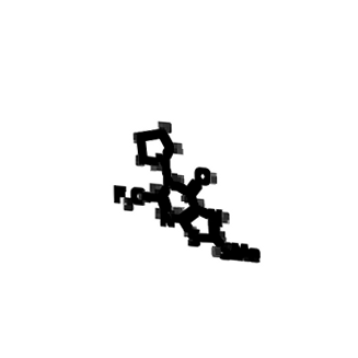 CSc1nc2c(=O)n(N3CCCC3)c(C(F)(F)F)nc2s1